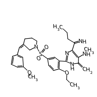 C=C1NC(c2cc(S(=O)(=O)N3CCC/C(=C/c4cccc(OC)c4)C3)ccc2OCC)=NC(C(=N)CCC)=C1NC